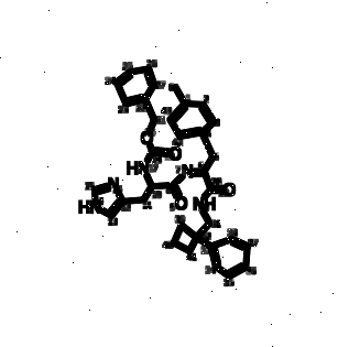 Cc1ccc(CC(=NC(=O)C(Cc2c[nH]cn2)NC(=O)OCc2ccccc2)C(=O)NCC2(c3ccccc3)CCC2)cc1